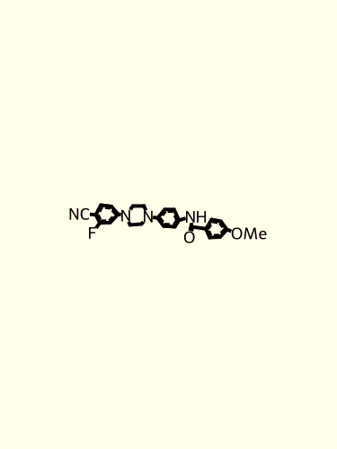 COc1ccc(C(=O)Nc2ccc(N3CCN(c4ccc(C#N)c(F)c4)CC3)cc2)cc1